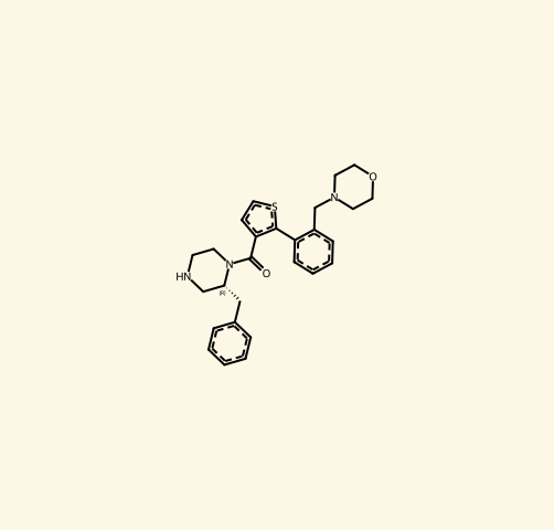 O=C(c1ccsc1-c1ccccc1CN1CCOCC1)N1CCNC[C@H]1Cc1ccccc1